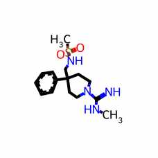 CNC(=N)N1CCC(CNS(C)(=O)=O)(c2ccccc2)CC1